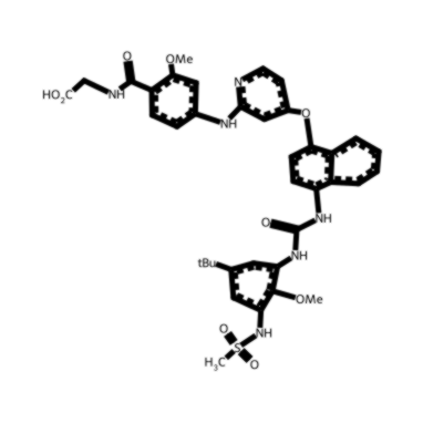 COc1cc(Nc2cc(Oc3ccc(NC(=O)Nc4cc(C(C)(C)C)cc(NS(C)(=O)=O)c4OC)c4ccccc34)ccn2)ccc1C(=O)NCC(=O)O